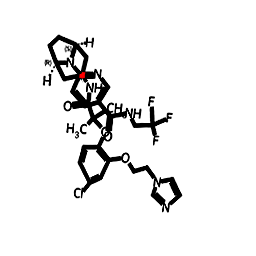 CC(C)(Oc1ccc(Cl)cc1OCCn1ccnc1)C(=O)N[C@H]1C[C@H]2CC[C@@H](C1)N2c1ccc(C(=O)NCC(F)(F)F)cn1